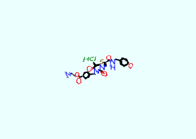 COc1ccc(CNC(=O)c2cn3c(=O)n(Cc4ccc(C(=O)OCCN(C)C)cc4)c(=O)c(C)c3s2)cc1.Cl